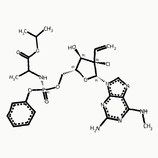 C=C[C@@]1(Cl)[C@H](O)[C@@H](CO[P@](=O)(NC(C)C(=O)OC(C)C)Oc2ccccc2)O[C@H]1n1cnc2c(NC)nc(N)nc21